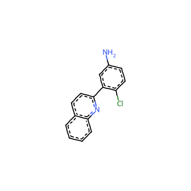 Nc1ccc(Cl)c(-c2ccc3ccccc3n2)c1